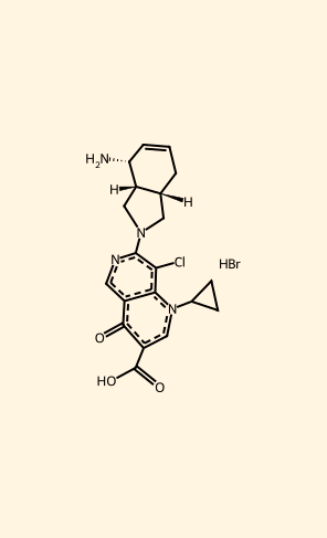 Br.N[C@@H]1C=CC[C@@H]2CN(c3ncc4c(=O)c(C(=O)O)cn(C5CC5)c4c3Cl)C[C@@H]21